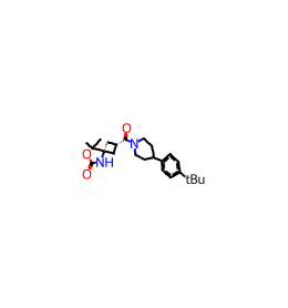 CC(C)(C)c1ccc(C2CCN(C(=O)[C@H]3C[C@]4(C3)NC(=O)OC4(C)C)CC2)cc1